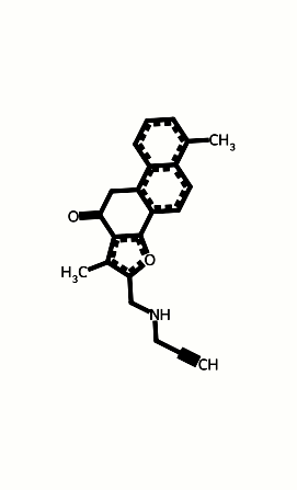 C#CCNCc1oc2c(c1C)C(=O)Cc1c-2ccc2c(C)cccc12